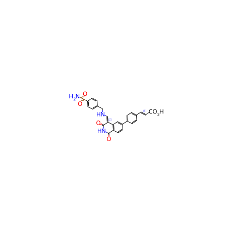 NS(=O)(=O)c1ccc(CN/C=C2\C(=O)NC(=O)c3ccc(-c4ccc(/C=C/C(=O)O)cc4)cc32)cc1